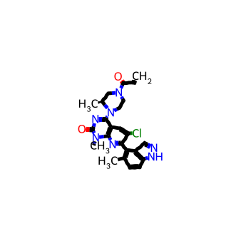 C=CC(=O)N1CCN(c2nc(=O)n(C)c3nc(-c4c(C)ccc5[nH]ncc45)c(Cl)cc23)[C@@H](C)C1